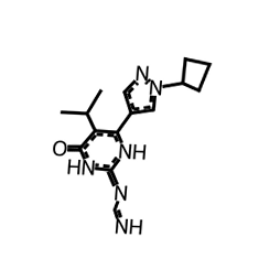 CC(C)c1c(-c2cnn(C3CCC3)c2)[nH]/c(=N/C=N)[nH]c1=O